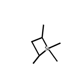 CC1CC(C)[Si]1(C)C